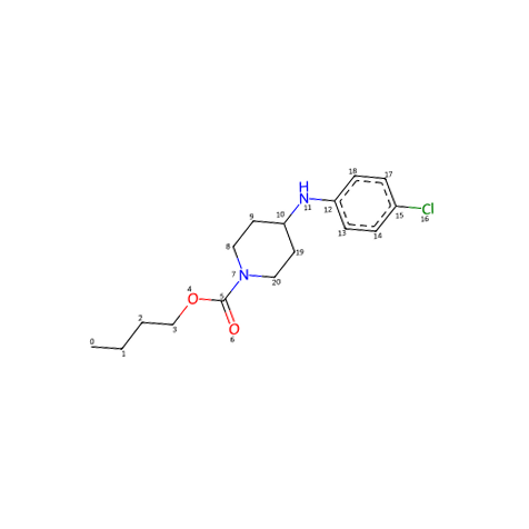 CCCCOC(=O)N1CCC(Nc2ccc(Cl)cc2)CC1